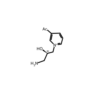 CC(=O)c1ccc[n+](C[C@H](O)CN)c1